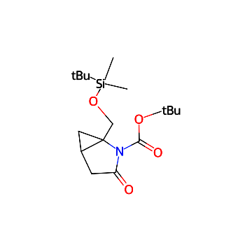 CC(C)(C)OC(=O)N1C(=O)CC2CC21CO[Si](C)(C)C(C)(C)C